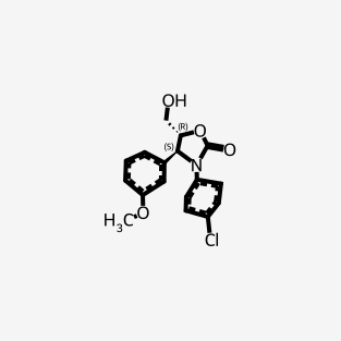 COc1cccc([C@H]2[C@H](CO)OC(=O)N2c2ccc(Cl)cc2)c1